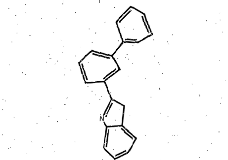 c1ccc(-c2cccc(C3=Nc4ccccc4C3)c2)cc1